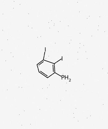 Pc1cccc(I)c1I